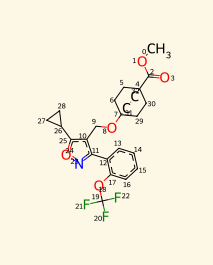 COC(=O)C12CCC(OCc3c(-c4ccccc4OC(F)(F)F)noc3C3CC3)(CC1)CC2